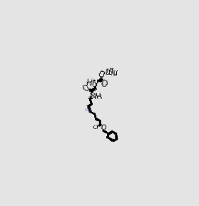 CC(C)(C)OC(=O)NCC(=O)NCC/C=C\CCCC(=O)OCc1ccccc1